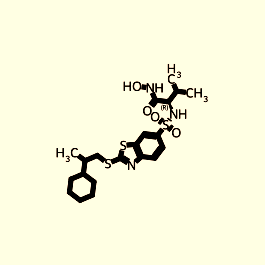 CC(CSc1nc2ccc(S(=O)(=O)N[C@@H](C(=O)NO)C(C)C)cc2s1)C1CCCCC1